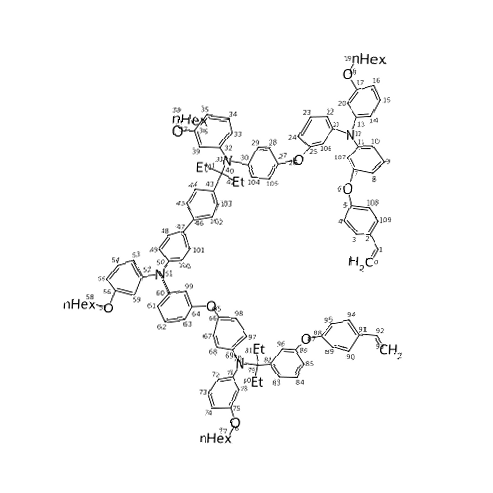 C=Cc1ccc(Oc2cccc(N(c3cccc(OCCCCCC)c3)c3cccc(Oc4ccc(N(c5cccc(OCCCCCC)c5)C(CC)(CC)c5ccc(-c6ccc(N(c7cccc(OCCCCCC)c7)c7cccc(Oc8ccc(N(c9cccc(OCCCCCC)c9)C(CC)(CC)c9cccc(Oc%10ccc(C=C)cc%10)c9)cc8)c7)cc6)cc5)cc4)c3)c2)cc1